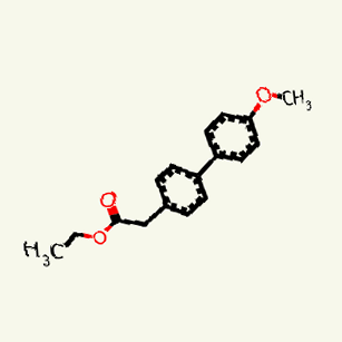 CCOC(=O)Cc1ccc(-c2ccc(OC)cc2)cc1